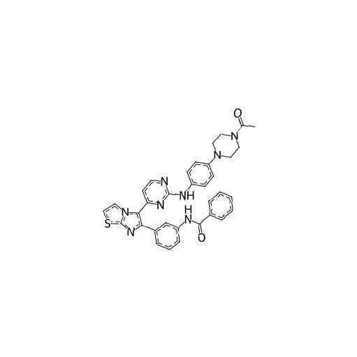 CC(=O)N1CCN(c2ccc(Nc3nccc(-c4c(-c5cccc(NC(=O)c6ccccc6)c5)nc5sccn45)n3)cc2)CC1